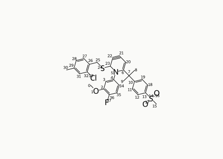 COc1cc(N2C(C(C)(C)c3ccc(S(C)(=O)=O)cc3)=CC#CC2SCc2ccc(C)cc2Cl)ccc1F